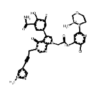 C[C@H]1COCCN1c1cc(NC(=O)Cn2cc(-c3cc(F)c(O)c(C(N)=O)c3)c3c(=O)n(CC#Cc4cnn(C)c4)cnc32)c(Cl)cn1